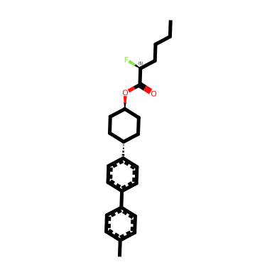 CCCC[C@H](F)C(=O)O[C@H]1CC[C@H](c2ccc(-c3ccc(C)cc3)cc2)CC1